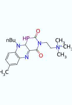 CCCCN1c2ccc(C)cc2N=C2C(=O)N(CC[N+](C)(C)C)C(=O)PC21